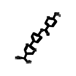 CCCCC(CCC)c1cnc(-c2ccc(OC(=O)c3ccc(C)nc3)cc2)nc1